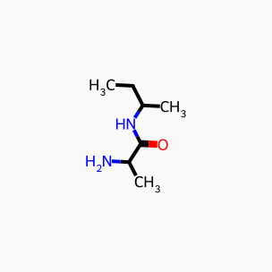 CCC(C)NC(=O)C(C)N